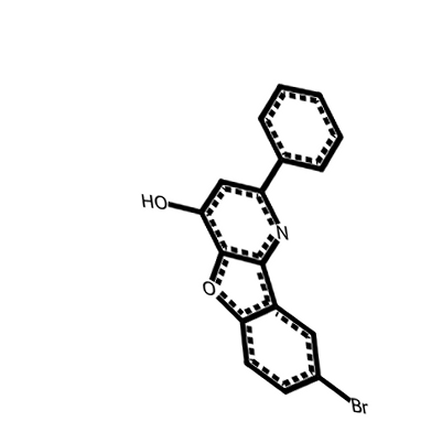 Oc1cc(-c2ccccc2)nc2c1oc1ccc(Br)cc12